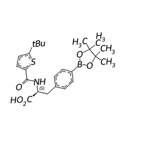 CC(C)(C)c1ccc(C(=O)N[C@@H](Cc2ccc(B3OC(C)(C)C(C)(C)O3)cc2)C(=O)O)s1